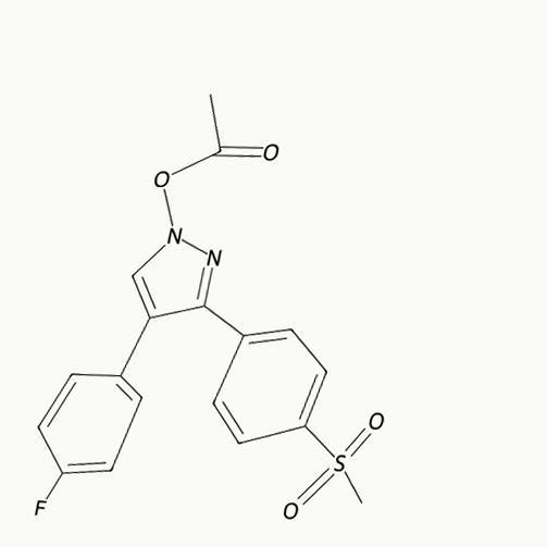 CC(=O)On1cc(-c2ccc(F)cc2)c(-c2ccc(S(C)(=O)=O)cc2)n1